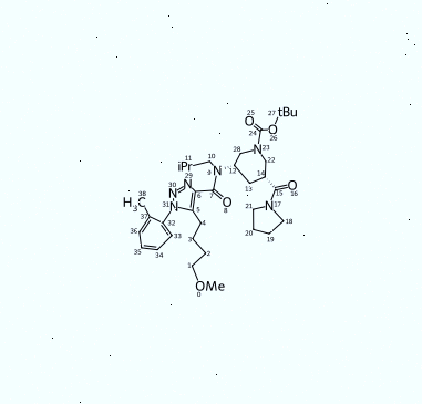 COCCCCc1c(C(=O)N(CC(C)C)[C@H]2C[C@@H](C(=O)N3CCCC3)CN(C(=O)OC(C)(C)C)C2)nnn1-c1ccccc1C